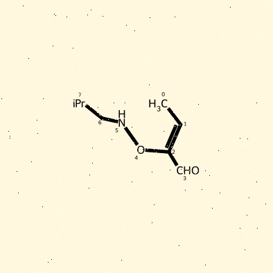 CC=C(C=O)ONCC(C)C